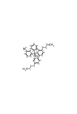 CCCCc1ccc(-c2ccc(CCCC)cc2C(O)(c2cccc(Br)c2)c2ccccn2)cc1